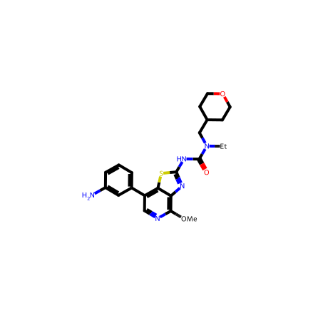 CCN(CC1CCOCC1)C(=O)Nc1nc2c(OC)ncc(-c3cccc(N)c3)c2s1